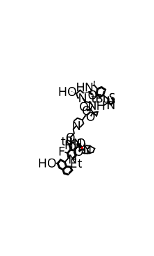 CCc1cccc2cc(O)cc(-c3ncc4c(N5CC6CCC(C5)N6C(=O)OC(C)(C)C)nc(OCCN5CCC(COC6(C(=O)N[C@H](C(=O)N7C[C@H](O)C[C@H]7C(=O)N[C@@H](C)c7ccc(-c8scnc8C)cc7)C(C)(C)C)CC6)CC5)nc4c3F)c12